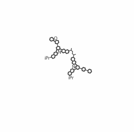 CC(C)c1ccc2cc3c(cc2c1)c1cc(-c2ccc(-c4ccccc4)cc2)cc2c4cc5cc(C(C)CCC(C)c6ccc7cc8c(cc7c6)c6cc(-c7ccc9oc%10ccccc%10c9c7)cc7c9cc%10cc(C(C)C)ccc%10cc9n8c76)ccc5cc4n3c12